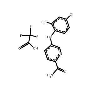 NC(=O)c1ccc(Nc2ccc(Cl)cc2C(F)(F)F)cn1.O=C(O)C(F)(F)F